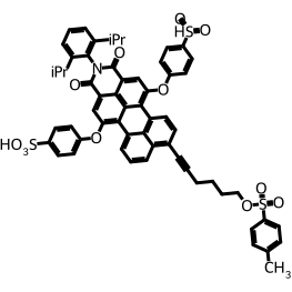 Cc1ccc(S(=O)(=O)OCCCCC#Cc2ccc3c4c(Oc5ccc([SH](=O)=O)cc5)cc5c6c(cc(Oc7ccc(S(=O)(=O)O)cc7)c(c7cccc2c73)c64)C(=O)N(c2c(C(C)C)cccc2C(C)C)C5=O)cc1